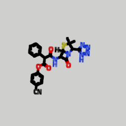 CC1(C)S[C@H]2C(NC(=O)C(C(=O)Oc3ccc(C#N)cc3)c3ccccc3)C(=O)N2C1c1nnn[nH]1